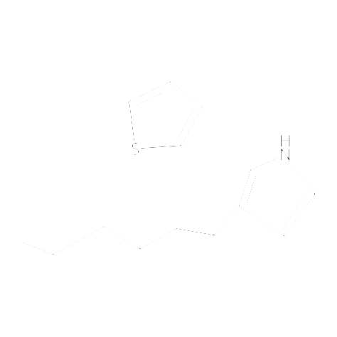 CCCCCCc1cc[nH]c1.c1ccsc1